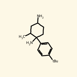 CC1CC(N)CCC1(N)c1ccc(C(C)(C)C)cc1